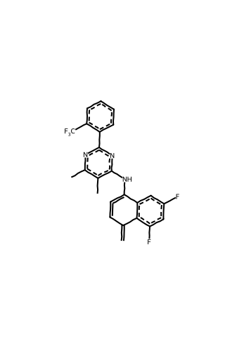 C=C1C=C=C(Nc2nc(-c3ccccc3C(F)(F)F)nc(C)c2C)c2cc(F)cc(F)c21